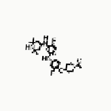 CC(=O)N1CCC(Oc2ccc(Nc3ncc(F)c(NC4CC(C)(C)NC(C)(C)C4)n3)cc2F)CC1